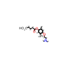 Cc1cc(OCCN(C)C)c(C(C)C)cc1OC(=O)CCCC(=O)O